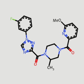 COc1cccc(C(=O)N2CCN(C(=O)c3ncn(-c4cccc(F)c4)n3)C(C)C2)n1